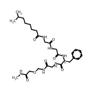 CNC(=O)COCNC(=O)CNC(=O)[C@H](Cc1ccccc1)NC(=O)CNC(=O)CNC(=O)CCCCCC(C)C